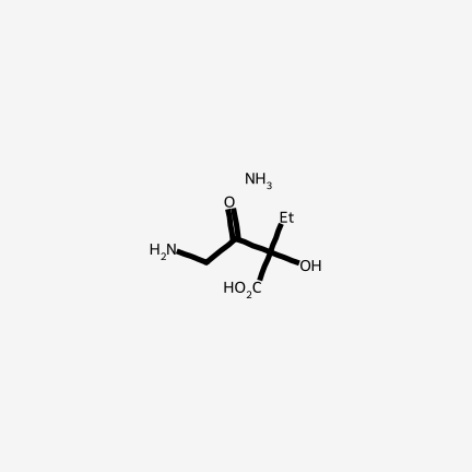 CCC(O)(C(=O)O)C(=O)CN.N